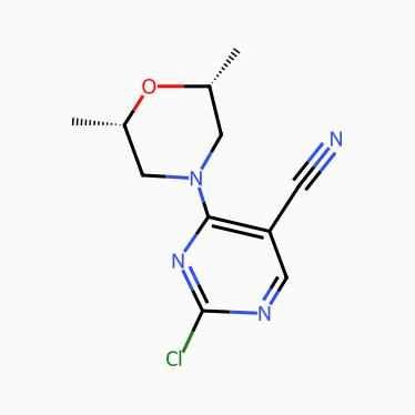 C[C@@H]1CN(c2nc(Cl)ncc2C#N)C[C@H](C)O1